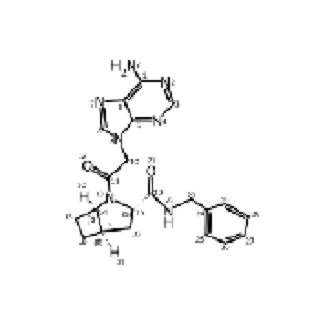 Nc1ncnc2c1ncn2CC(=O)N1[C@@H]2CC[C@@H]2C[C@H]1C(=O)NCc1ccccc1